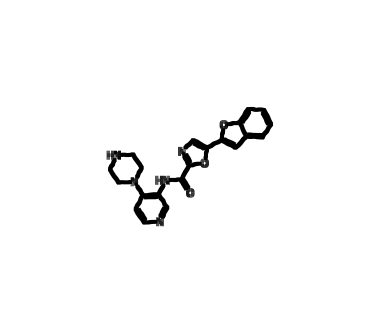 O=C(Nc1cnccc1N1CCNCC1)c1ncc(-c2cc3ccccc3o2)o1